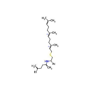 C=C(CC)CCC(=C)NC(CSC/C=C(\C)CC/C=C(\C)CCC=C(C)C)C(C)=O